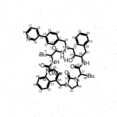 CCC(C)C(NC(=O)OC)C(=O)NN(Cc1ccc(-c2cccnc2)cc1)CC(O)C(Cc1ccccc1)NC(=O)C(C(C)CC)N1CCN(Cc2ccnc3ccccc23)C1=O